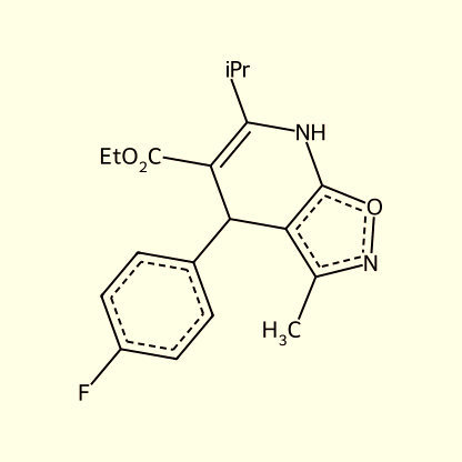 CCOC(=O)C1=C(C(C)C)Nc2onc(C)c2C1c1ccc(F)cc1